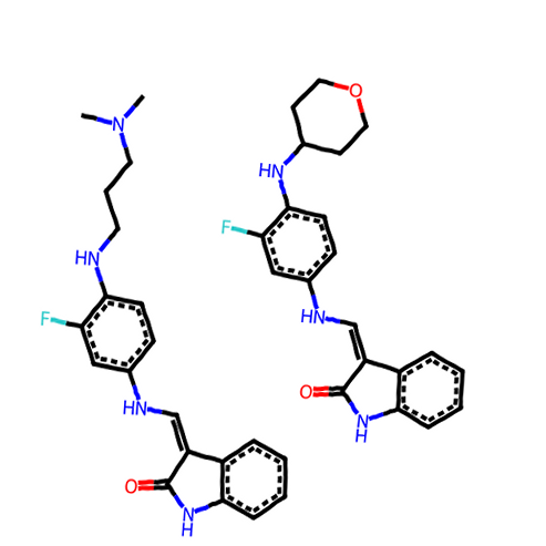 CN(C)CCCNc1ccc(NC=C2C(=O)Nc3ccccc32)cc1F.O=C1Nc2ccccc2C1=CNc1ccc(NC2CCOCC2)c(F)c1